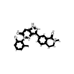 Cc1cccc(F)c1-n1nc2c(-c3ccc4c(c3)C(=O)N(C)CC4)n[nH]c2cc1=O